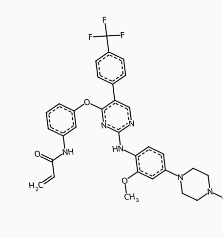 C=CC(=O)Nc1cccc(Oc2nc(Nc3ccc(N4CCN(C)CC4)cc3OC)ncc2-c2ccc(C(F)(F)F)cc2)c1